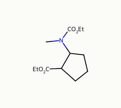 CCOC(=O)C1CCCC1N(C)C(=O)OCC